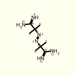 CC(C)(/N=N/C(C)(C)C(=N)N)C(=N)N